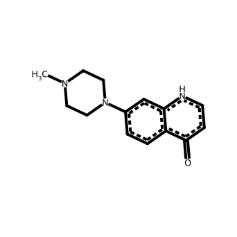 CN1CCN(c2ccc3c(=O)cc[nH]c3c2)CC1